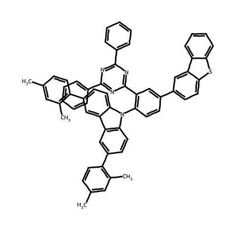 Cc1ccc(-c2ccc3c(c2)c2cc(-c4ccc(C)cc4C)ccc2n3-c2ccc(-c3ccc4sc5ccccc5c4c3)cc2-c2nc(-c3ccccc3)nc(-c3ccccc3)n2)c(C)c1